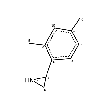 Cc1ccc(C2CN2)c(C)c1